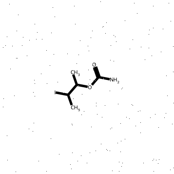 CC(I)C(C)OC(N)=O